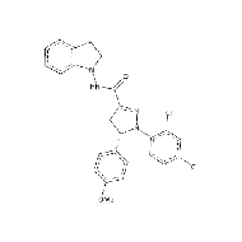 COc1ccc([C@@H]2CC(C(=O)NN3CCc4ccccc43)=NN2c2ccc(Cl)cc2Cl)cc1